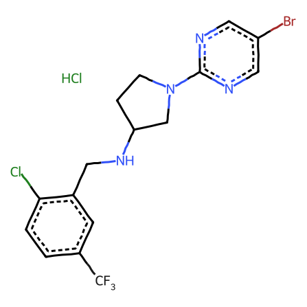 Cl.FC(F)(F)c1ccc(Cl)c(CNC2CCN(c3ncc(Br)cn3)C2)c1